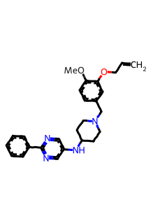 C=CCOc1cc(CN2CCC(Nc3cnc(-c4ccccc4)nc3)CC2)ccc1OC